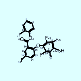 O=C(Oc1ccccc1I)c1cc(I)ccc1Oc1c(F)c(F)c(S)c(F)c1F